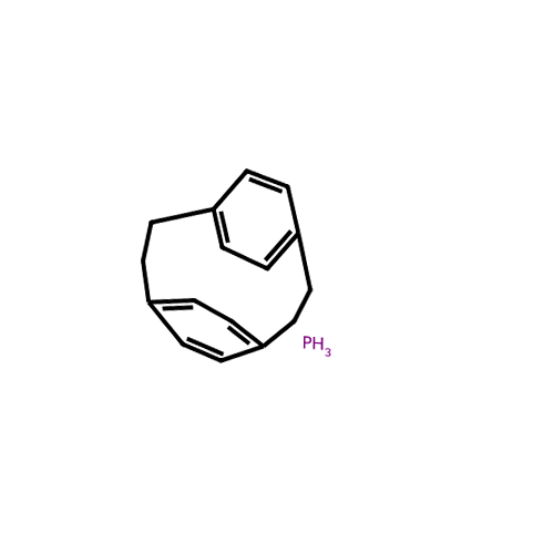 P.c1cc2ccc1CCc1ccc(cc1)CC2